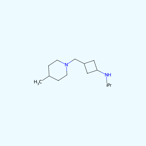 CC1CCN(CC2CC(NC(C)C)C2)CC1